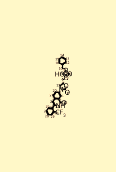 O=C1O[C@@H](COP(=O)(O)OCc2ccccc2)CN1c1ccc2cc(-c3ccccc3C(F)(F)F)[nH]c(=O)c2c1